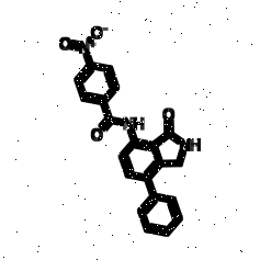 O=C(Nc1ccc(-c2ccccc2)c2c1C(=O)NC2)c1ccc([N+](=O)[O-])cc1